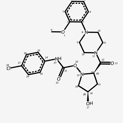 COc1ccccc1N1CCN(C(=O)[C@H]2C[C@@H](O)CN2OC(=O)Nc2ccc(Cl)cc2)CC1